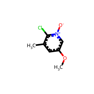 COc1cc(C)c(Cl)[n+]([O-])c1